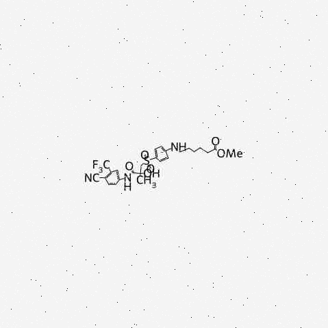 COC(=O)CCCCCNc1ccc(S(=O)(=O)CC(C)(O)C(=O)Nc2ccc(C#N)c(C(F)(F)F)c2)cc1